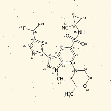 C[C@@H]1CN(c2cc(S(=O)(=O)NC3(C#N)CC3)cc3c(-c4nnc(C(F)F)s4)nn(C)c23)CCO1